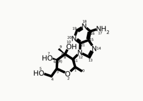 CC1OC(CO)[C@@H](O)[C@](C)(O)C1n1cnc2c(N)ncnc21